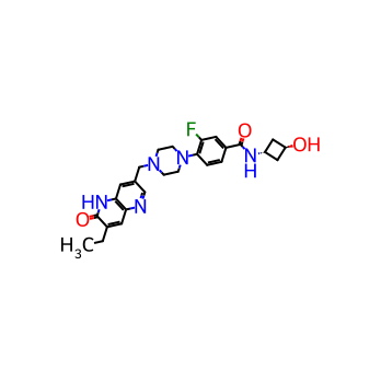 CCc1cc2ncc(CN3CCN(c4ccc(C(=O)N[C@H]5C[C@H](O)C5)cc4F)CC3)cc2[nH]c1=O